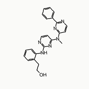 CN(c1ccnc(Nc2ccccc2CCO)n1)c1ccnc(-c2ccccc2)n1